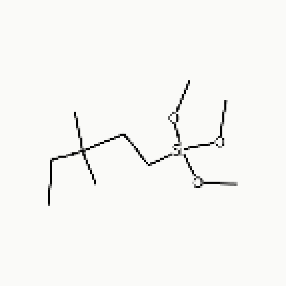 CCC(C)(C)CC[Si](OC)(OC)OC